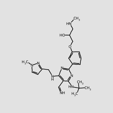 CNCC(O)COc1cccc(-c2nc(NCc3ccn(C)n3)c(C=N)c(NC(C)(C)C)n2)c1